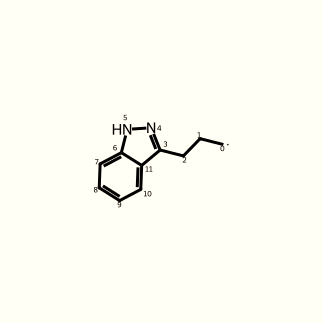 [CH2]CCc1n[nH]c2ccccc12